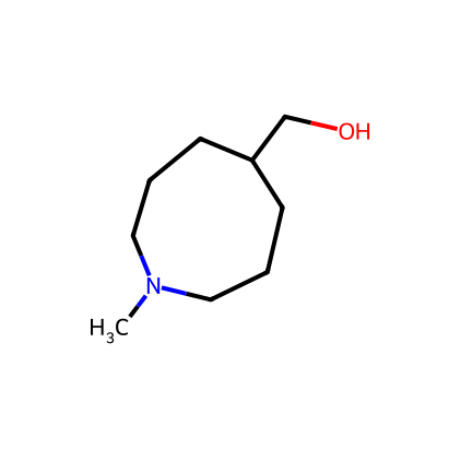 CN1CCCC(CO)CCC1